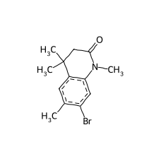 Cc1cc2c(cc1Br)N(C)C(=O)CC2(C)C